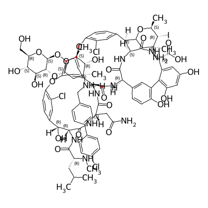 CN[C@H](CC(C)C)C(=O)N[C@H]1C(=O)N[C@@H](CC(N)=O)C(=O)N[C@H]2C(=O)N[C@H]3C(=O)N[C@H](C(=O)N[C@H](C(=O)O)c4cc(O)cc(O)c4-c4cc3ccc4O)[C@H](C3C[C@](C)(N)[C@@H](I)[C@H](C)O3)c3ccc(c(Cl)c3)Oc3cc2cc(c3O[C@@H]2O[C@H](CO)[C@@H](O)[C@H](O)[C@H]2O[C@H]2C[C@](C)(NCc3ccc(-c4ccc(Cl)cc4)cc3)[C@@H](O)[C@H](C)O2)Oc2ccc(cc2Cl)[C@H]1O